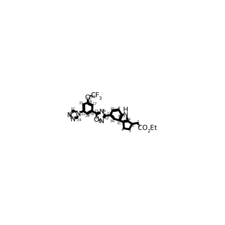 CCOC(=O)CC1CCc2c1[nH]c1ccc(-c3noc(-c4cc(OC(F)(F)F)cc(-n5cnnc5)c4)n3)cc21